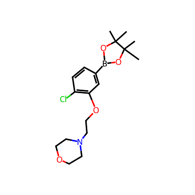 CC1(C)OB(c2ccc(Cl)c(OCCN3CCOCC3)c2)OC1(C)C